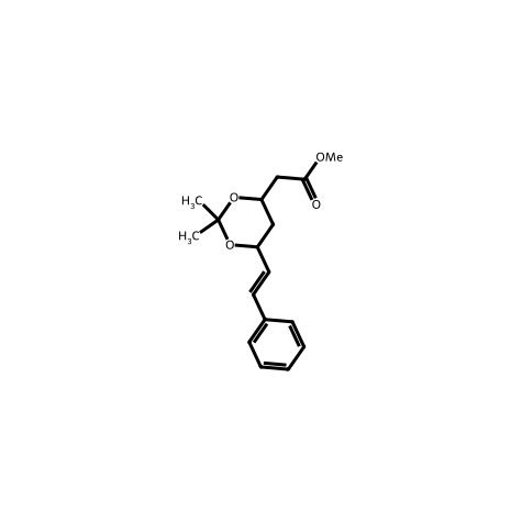 COC(=O)CC1CC(/C=C/c2ccccc2)OC(C)(C)O1